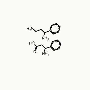 NC(CC(=O)O)c1ccccc1.NCCC(N)c1ccccc1